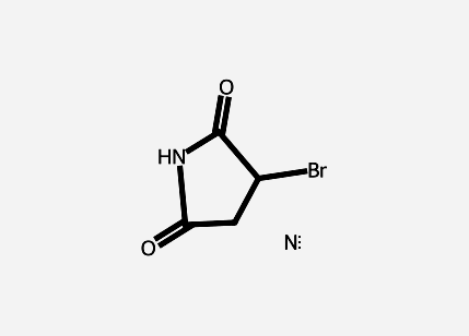 O=C1CC(Br)C(=O)N1.[N]